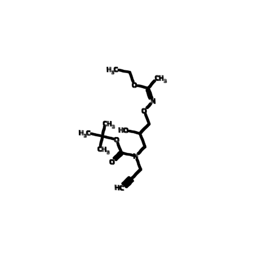 C#CCN(CC(O)CON=C(C)OCC)C(=O)OC(C)(C)C